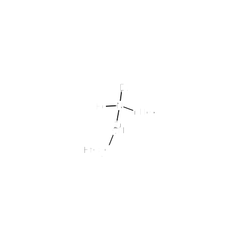 CCCCCC[N+](CC)(CC)CC.CCOC(C)=O